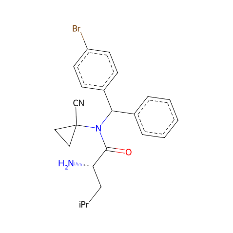 CC(C)C[C@H](N)C(=O)N(C(c1ccccc1)c1ccc(Br)cc1)C1(C#N)CC1